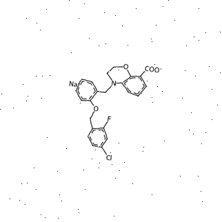 O=C([O-])c1cccc2c1OCCN2Cc1ccccc1OCc1ccc(Cl)cc1F.[Na+]